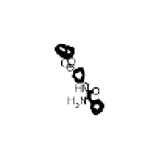 COC1(OO[C@H]2CC[C@@H](CNC(=O)[C@@H](N)c3ccccc3)CC2)C2CC3CC(C2)CC1C3